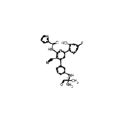 C[C@@](N)(C=O)Nc1cccc(-c2cc(-c3ccc(F)cc3O)nc(NC(=O)c3cccs3)c2C#N)c1